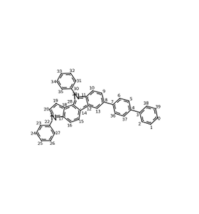 c1ccc(-c2ccc(-c3ccc4c(c3)c3ccc5c(ccn5-c5ccccc5)c3n4-c3ccccc3)cc2)cc1